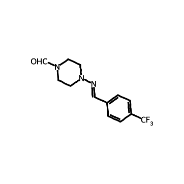 O=CN1CCN(N=Cc2ccc(C(F)(F)F)cc2)CC1